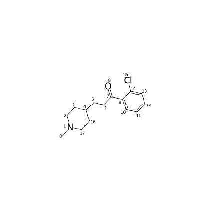 CN1CCC(CCC(=O)c2ccccc2Cl)CC1